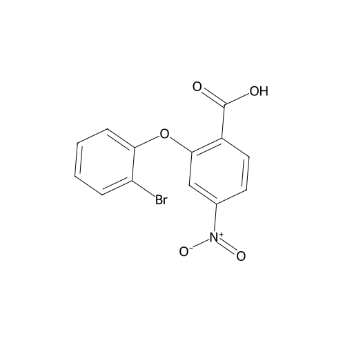 O=C(O)c1ccc([N+](=O)[O-])cc1Oc1ccccc1Br